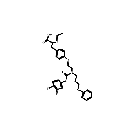 CCOC(Cc1ccc(OCCN(CCCOc2ccccc2)C(=O)Oc2ccc(F)c(F)c2)cc1)C(=O)O